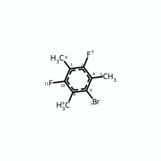 Cc1c(F)c(C)c(Br)c(C)c1F